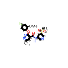 COc1cc(F)ccc1Oc1nnc(C(F)(F)F)cc1C(=O)Nc1cncc(S(C)(=O)=O)c1